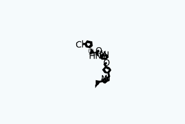 O=C(Nc1cc(OCc2ccc(Cn3ccc(C4CC4)n3)cc2)cnn1)[C@H]1C[C@@H]1c1cccc(Cl)c1